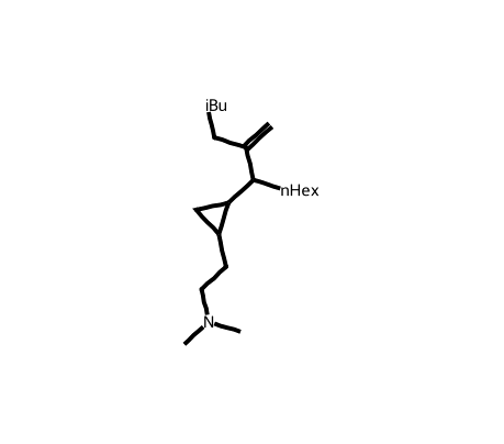 C=C(CC(C)CC)C(CCCCCC)C1CC1CCN(C)C